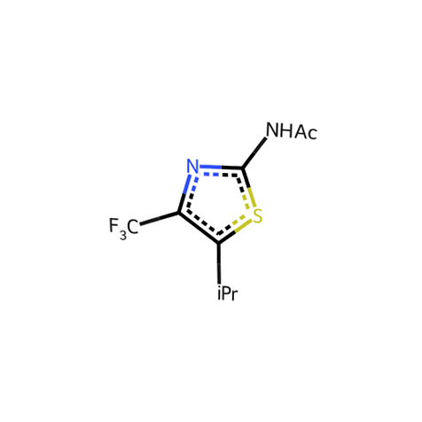 CC(=O)Nc1nc(C(F)(F)F)c(C(C)C)s1